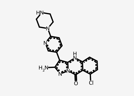 Nc1nn2c(=O)c3c(Cl)cccc3[nH]c2c1-c1ccc(N2CCNCC2)nc1